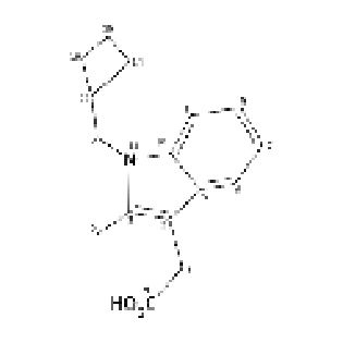 Cc1c(CC(=O)O)c2ccccc2n1CC1CCC1